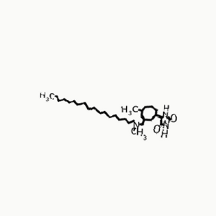 CCCCCCCCCCCCCCCCCCN(C)CC1CC(C)CCCC(C2NC(=O)NC2=O)C1